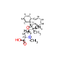 CN1CC(O[Si](c2ccccc2)(c2ccccc2)C(C)(C)C)CC1C(=O)O